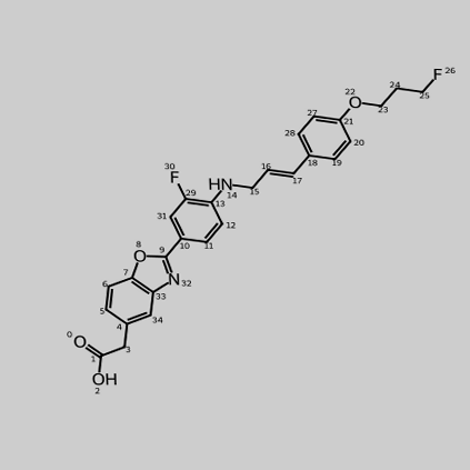 O=C(O)Cc1ccc2oc(-c3ccc(NCC=Cc4ccc(OCCCF)cc4)c(F)c3)nc2c1